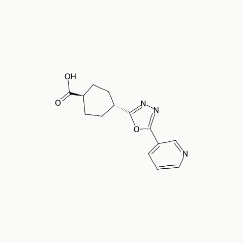 O=C(O)[C@H]1CC[C@H](c2nnc(-c3cccnc3)o2)CC1